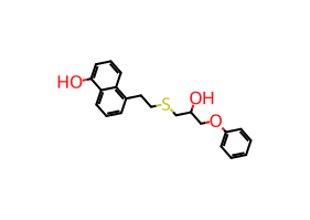 Oc1cccc2c(CCSCC(O)COc3ccccc3)cccc12